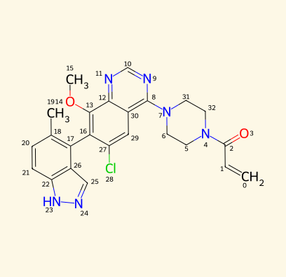 C=CC(=O)N1CCN(c2ncnc3c(OC)c(-c4c(C)ccc5[nH]ncc45)c(Cl)cc23)CC1